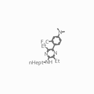 CCCCCCCNc1nc(CC)c(-c2ccc(N(C)C)cc2C(F)(F)F)nc1CC